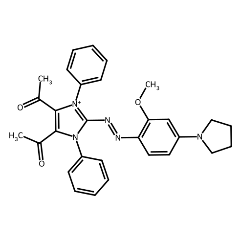 COc1cc(N2CCCC2)ccc1/N=N/c1n(-c2ccccc2)c(C(C)=O)c(C(C)=O)[n+]1-c1ccccc1